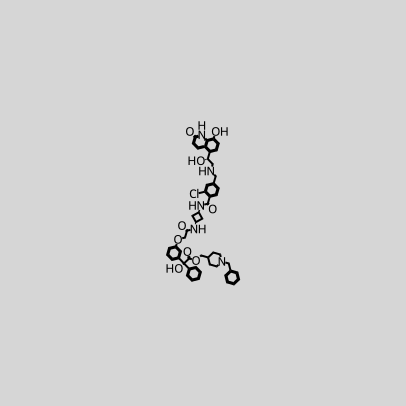 O=C(COc1cccc(C(O)(C(=O)OCC2CCN(Cc3ccccc3)CC2)c2ccccc2)c1)N[C@H]1C[C@H](NC(=O)c2ccc(CNC[C@H](O)c3ccc(O)c4[nH]c(=O)ccc34)cc2Cl)C1